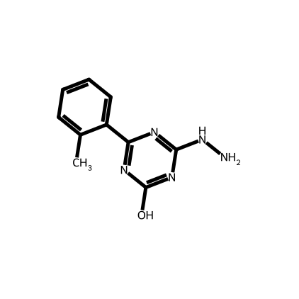 Cc1ccccc1-c1nc(O)nc(NN)n1